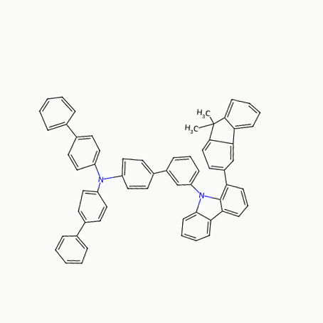 CC1(C)c2ccccc2-c2cc(-c3cccc4c5ccccc5n(-c5cccc(-c6ccc(N(c7ccc(-c8ccccc8)cc7)c7ccc(-c8ccccc8)cc7)cc6)c5)c34)ccc21